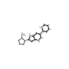 CN1CCC[C@@H]1c1cc2ncc(-c3ccccn3)cc2o1